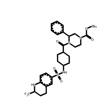 CC(C)(C)OC(=O)N1CCN(C(=O)C2CCC(NS(=O)(=O)c3ccc4c(c3)CCC(C(F)(F)F)N4)CC2)C(c2ccccc2)C1